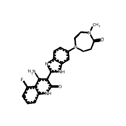 CN1CCN(c2ccc3nc(-c4c(N)c5c(F)cccc5[nH]c4=O)[nH]c3c2)CCC1=O